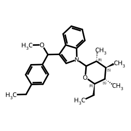 CCc1ccc(C(OC)c2cn(C3O[C@H](CC)[C@@H](C)[C@H](C)[C@H]3C)c3ccccc23)cc1